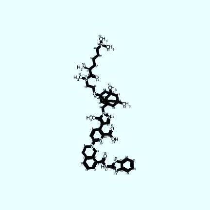 Cc1c(-c2ccc(N3CCc4cccc(C(=O)Nc5nc6ccccc6s5)c4C3)nc2C(=O)O)cnn1CC12CC3(C)CC(C)(C1)CC(OCCN(C)C(=O)[C@@H](N)CCCCN(C)C)(C3)C2